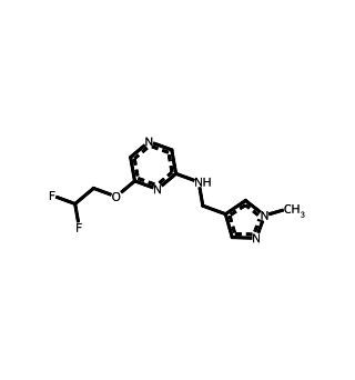 Cn1cc(CNc2cncc(OCC(F)F)n2)cn1